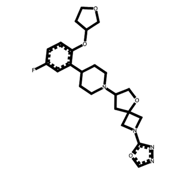 Fc1ccc(OC2CCOC2)c(C2CCN(C3COC4(C3)CN(c3nnco3)C4)CC2)c1